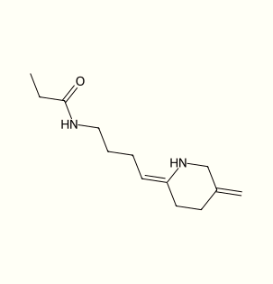 C=C1CC/C(=C/CCCNC(=O)CC)NC1